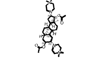 CC(=O)O[C@H]1C[C@@H]2CC[C@@H]3[C@H](CC[C@@]4(C)[C@H]3C[C@H](N3CC[N+](C)(C)CC3)[C@@H]4OC(C)=O)[C@@]2(C)C[C@@H]1N1CC[N+](C)(C)CC1